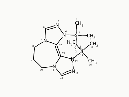 CS(C)(C)N1N=CN2CCCN3C=NN(S(C)(C)C)C3=C21